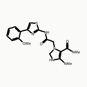 CNC(=O)C1=C(NC)NCN1CC(=O)Nc1nc(-c2ccccc2OC)cs1